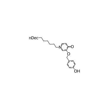 CCCCCCCCCCCCCCCCn1ccc(=O)c(OCc2ccc(O)cc2)c1